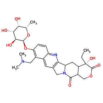 CC[C@@]1(O)C(=O)OCC2C(=O)N3Cc4cc5c(CN(C)C)c(O[C@@H]6O[C@@H](C)[C@@H](O)[C@@H](O)[C@@H]6O)ccc5nc4C3CC21